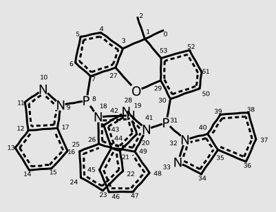 CC1(C)c2cccc(P(n3ncc4ccccc43)n3ncc4ccccc43)c2Oc2c(P(n3ncc4ccccc43)n3ncc4ccccc43)cccc21